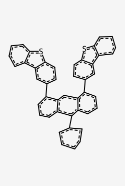 c1ccc(-c2c3cccc(-c4ccc5sc6ccccc6c5c4)c3cc3c(-c4ccc5sc6ccccc6c5c4)cccc23)cc1